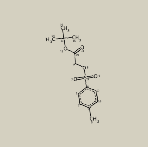 Cc1ccc(S(=O)(=O)OCC(=O)OC(C)(C)C)cc1